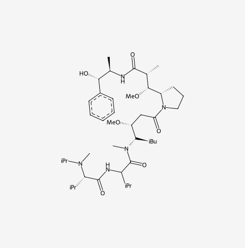 CC[C@H](C)[C@@H]([C@@H](CC(=O)N1CCC[C@H]1[C@H](OC)[C@@H](C)C(=O)N[C@H](C)[C@@H](O)c1ccccc1)OC)N(C)C(=O)C(NC(=O)[C@H](C(C)C)N(C)C(C)C)C(C)C